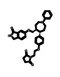 O=C1NCc2ccc(OC[C@H]3CCN(c4ccccc4)CC[C@@H]3c3ccc(OCCN4C(=O)CCC4=O)cc3)cc21